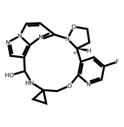 OC1NC2(CC2)COc2ncc(F)cc2[C@H]2CCON2c2ccn3ncc1c3n2